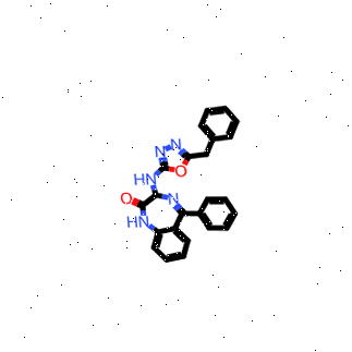 O=C1Nc2ccccc2C(c2ccccc2)=NC1Nc1nnc(Cc2ccccc2)o1